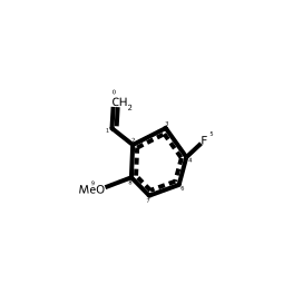 C=[C]c1cc(F)ccc1OC